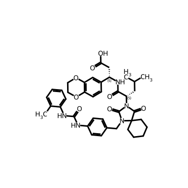 Cc1ccccc1NC(=O)Nc1ccc(CN2C(=O)N([C@@H](CC(C)C)C(=O)N[C@@H](CC(=O)O)c3ccc4c(c3)OCCO4)C(=O)C23CCCCC3)cc1